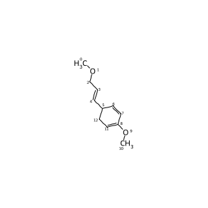 COCC=CC1C=CC(OC)=CC1